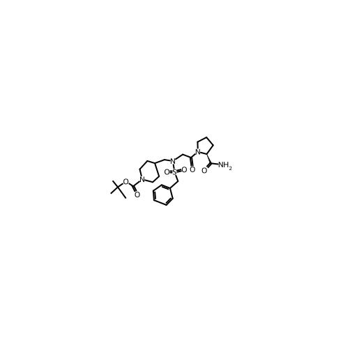 CC(C)(C)OC(=O)N1CCC(CN(CC(=O)N2CCC[C@H]2C(N)=O)S(=O)(=O)Cc2ccccc2)CC1